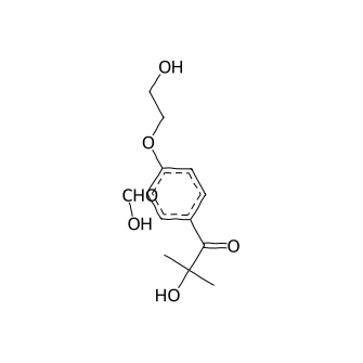 CC(C)(O)C(=O)c1ccc(OCCO)cc1.O=CO